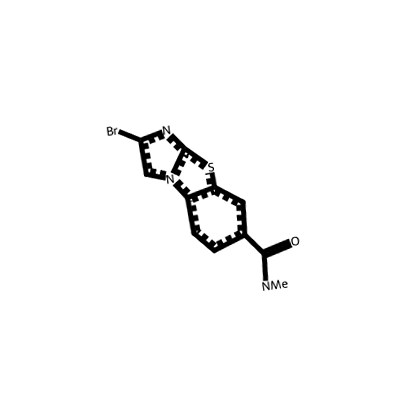 CNC(=O)c1ccc2c(c1)sc1nc(Br)cn12